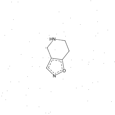 [C]1NCCc2oncc21